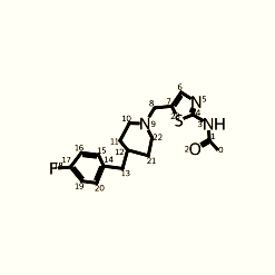 CC(=O)Nc1ncc(CN2CCC(Cc3ccc(F)cc3)CC2)s1